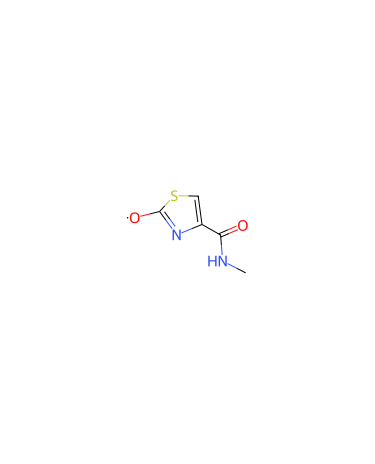 CNC(=O)c1csc([O])n1